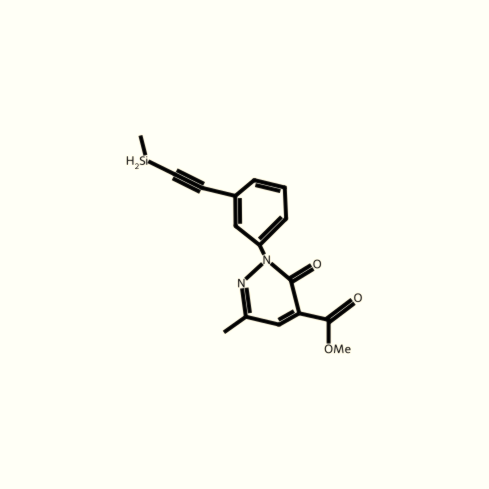 COC(=O)c1cc(C)nn(-c2cccc(C#C[SiH2]C)c2)c1=O